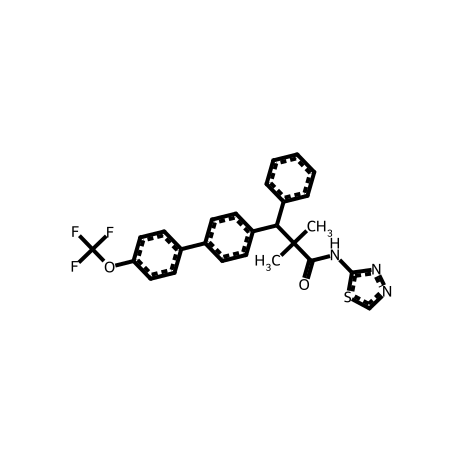 CC(C)(C(=O)Nc1nncs1)C(c1ccccc1)c1ccc(-c2ccc(OC(F)(F)F)cc2)cc1